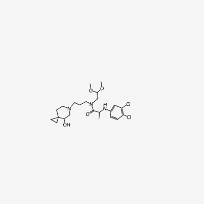 COC(CN(CCCN1CCC2(CC2)C(O)C1)C(=O)C(C)Nc1ccc(Cl)c(Cl)c1)OC